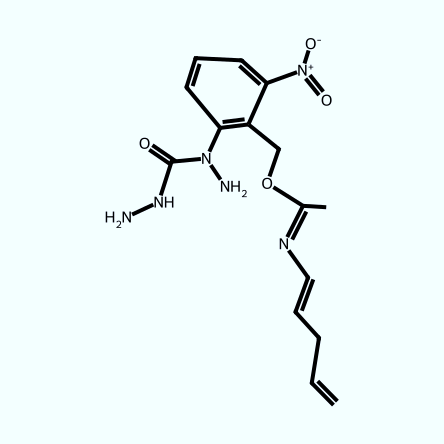 C=CCC=C/N=C(\C)OCc1c(N(N)C(=O)NN)cccc1[N+](=O)[O-]